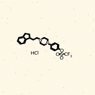 Cl.O=S(=O)(Oc1ccc(N2CCN(CCC3CCc4ccccc43)CC2)cc1)C(F)(F)F